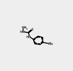 CC(C)(C)c1ccc(NC(=S)NN)cc1